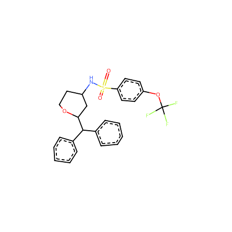 O=S(=O)(NC1CCOC(C(c2ccccc2)c2ccccc2)C1)c1ccc(OC(F)(F)F)cc1